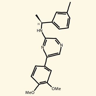 COc1ccc(-c2cncc(N[C@@H](C)c3cccc(C)c3)n2)cc1OC